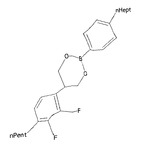 CCCCCCCc1ccc(B2OCC(c3ccc(CCCCC)c(F)c3F)CO2)cc1